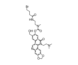 CN(C)CCn1c(=O)c2cc(OC(=O)N(C)CCNC(=O)CCCBr)c(CO)cc2c2cnc3cc4c(cc3c21)OCO4